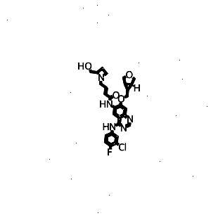 O=C(C=CCN1CCC1CO)Nc1cc2c(Nc3ccc(F)c(Cl)c3)ncnc2cc1OCC1C2COC[C@@H]21